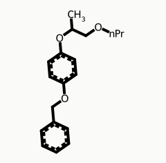 CCCOCC(C)Oc1ccc(OCc2ccccc2)cc1